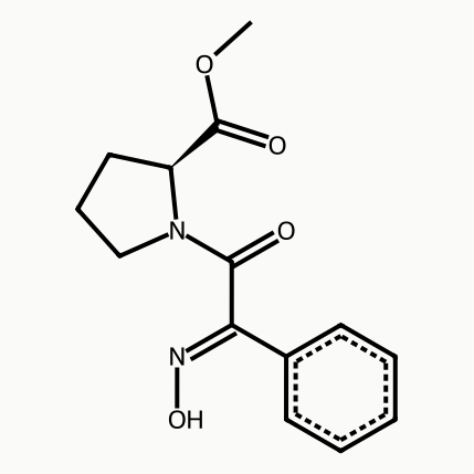 COC(=O)[C@@H]1CCCN1C(=O)/C(=N/O)c1ccccc1